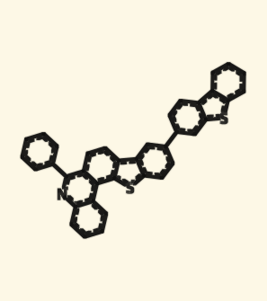 c1ccc(-c2nc3ccccc3c3c2ccc2c4cc(-c5ccc6c(c5)sc5ccccc56)ccc4sc23)cc1